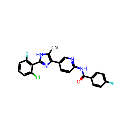 N#Cc1[nH]c(-c2c(F)cccc2Cl)nc1-c1ccc(NC(=O)c2ccc(F)cc2)nc1